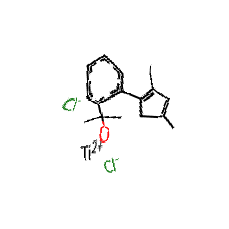 CC1=CC(C)=C(c2ccccc2C(C)(C)[O][Ti+2])C1.[Cl-].[Cl-]